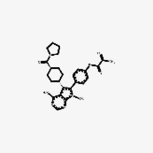 C=C(C)C(=O)Nc1ccc(-c2c([C@H]3CC[C@H](C(=O)N4CCCC4)CC3)c3c(N)ncnc3n2C)cc1